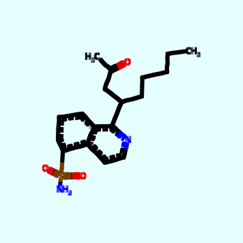 CCCCCC(CC(C)=O)c1nccc2c(S(N)(=O)=O)cccc12